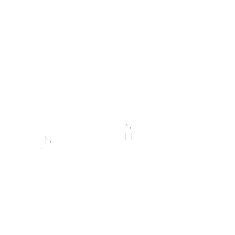 Nc1cccc(CNc2ccccc2)c1